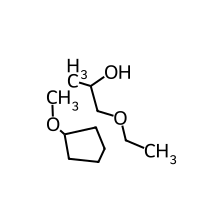 CCOCC(C)O.COC1CCCC1